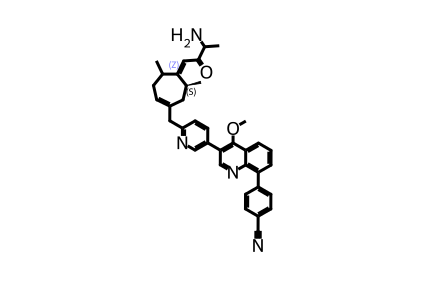 COc1c(-c2ccc(CC3=CCC(C)/C(=C/C(=O)C(C)N)[C@@H](C)C3)nc2)cnc2c(-c3ccc(C#N)cc3)cccc12